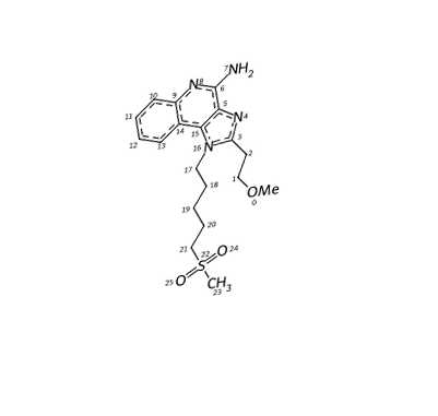 COCCc1nc2c(N)nc3ccccc3c2n1CCCCCS(C)(=O)=O